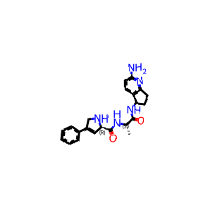 C[C@H](NC(=O)[C@H]1C=C(c2ccccc2)CN1)C(=O)NC1CCc2nc(N)ccc21